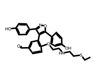 CCSCCNCCOc1ccc(C=O)cc1-c1c(-c2ccc(O)cc2)noc1-c1ccc(O)cc1